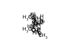 CONC(=O)c1ccc(C)c(Nc2nc(N[C@@H]3CCNC3)nc(N(C)CC(C)C(F)(F)F)n2)c1